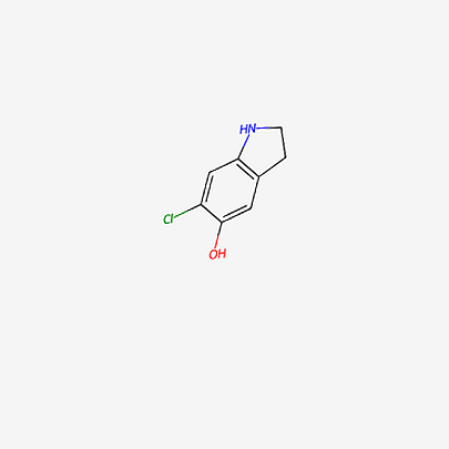 Oc1cc2c(cc1Cl)NCC2